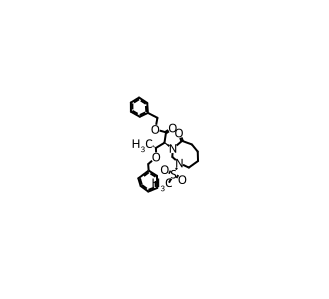 C[C@@H](OCc1ccccc1)[C@@H](C(=O)OCc1ccccc1)N1CN(S(C)(=O)=O)CCCCC1=O